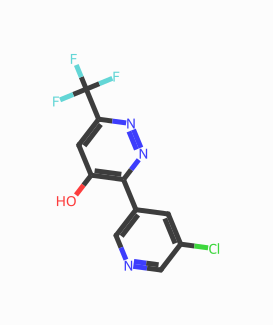 Oc1cc(C(F)(F)F)nnc1-c1cncc(Cl)c1